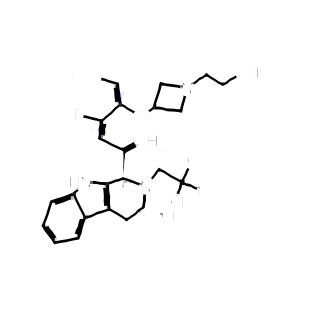 C=C(/C=C(F)\C(=C/C)OC1CN(CCC)C1)[C@@H]1c2[nH]c3ccccc3c2C[C@@H](C)N1CC(C)(C)F